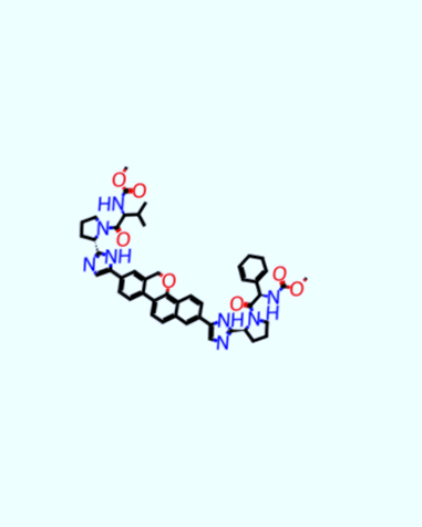 COC(=O)N[C@@H](C(=O)N1CCC[C@H]1c1ncc(-c2ccc3c4c(ccc3c2)-c2ccc(-c3cnc([C@@H]5CCCN5C(=O)[C@@H](NC(=O)OC)C(C)C)[nH]3)cc2CO4)[nH]1)C1=CCCC=C1